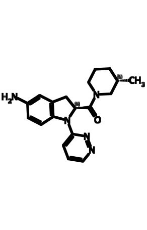 C[C@H]1CCCN(C(=O)[C@@H]2Cc3cc(N)ccc3N2c2cccnn2)C1